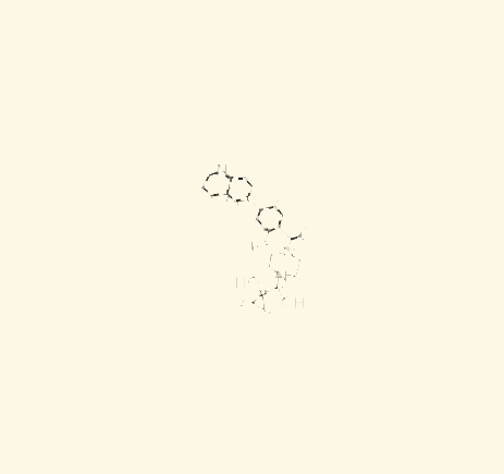 O=C(c1ccc(-c2ccc3ncccc3c2)cc1O)N1CCN(C(O)C2(O)CC2)CC1